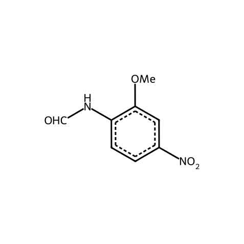 COc1cc([N+](=O)[O-])ccc1NC=O